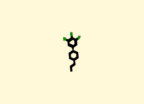 CCC[C@H]1CC[C@H](c2cc(F)c(F)c(F)c2)CC1